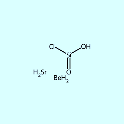 O=[Si](O)Cl.[BeH2].[SrH2]